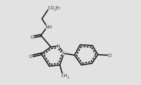 CCOC(=O)CNC(=O)c1nn(-c2ccc(Cl)cc2)c(C)cc1=O